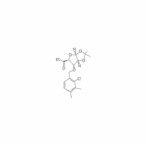 CCC(=O)[C@H]1O[C@@H]2OC(C)(C)O[C@@H]2[C@H]1OCc1ccc(C)c(C)c1Cl